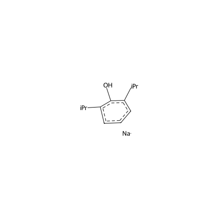 CC(C)c1cccc(C(C)C)c1O.[Na]